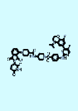 CC(C)N1CCOc2c(F)cc(-c3nc(Nc4ccc(S(=O)(=O)N5CCC(NC(=O)C6CCN(c7cccc8c7C(=O)N(C7CCC(=O)NC7=O)C8=O)CC6)CC5)cc4)ncc3F)cc21